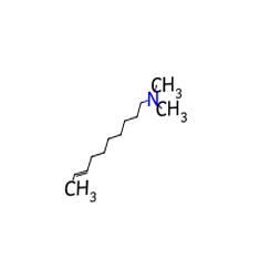 C/C=C/CCCCCCCN(C)C